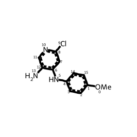 COc1ccc(Nc2cc(Cl)ncc2N)cc1